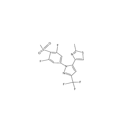 Cc1nc(-c2cc(C(F)(F)F)nn2-c2cc(F)c(S(C)(=O)=O)c(F)c2)cs1